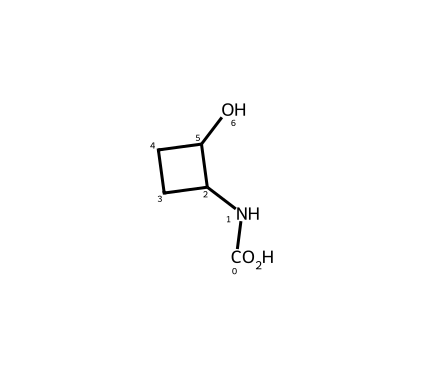 O=C(O)NC1CCC1O